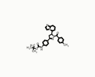 Cc1ccc(C(=O)N2N=C(c3ccc(NC(=O)OC(C)(C)C)cc3)CC2c2cccc3nccn23)cc1